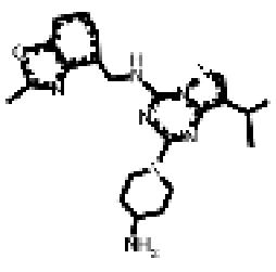 Cc1nc2c(CNc3nc(N4CCC(N)CC4)nc4c(C(C)C)cnn34)cccc2o1